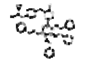 CC(=O)N(Cc1ccc(Cc2cc([C@@H]3O[C@H](COCc4ccccc4)[C@@H](OCc4ccccc4)[C@H](OCc4ccccc4)[C@H]3OCc3ccccc3)ccc2Cl)cc1)C1CC1